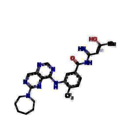 CC(C)(C)/C(O)=C/C(=N)NC(=O)c1ccc(C(F)(F)F)c(Nc2ncnc3cnc(N4CCCCCC4)nc23)c1